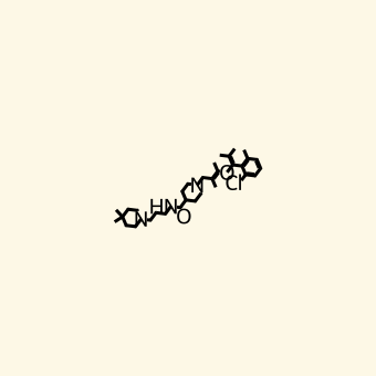 CC(C)=C(O/C(C)=C(\C)CN1CCC(C(=O)NCCCN2CCC(C)(C)CC2)CC1)c1c(C)cccc1Cl